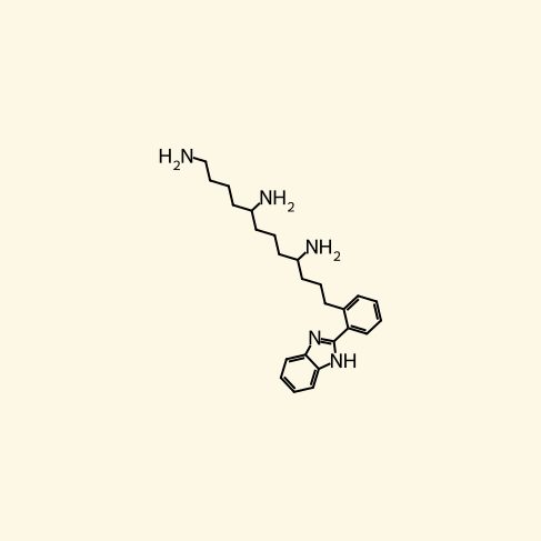 NCCCCC(N)CCCC(N)CCCc1ccccc1-c1nc2ccccc2[nH]1